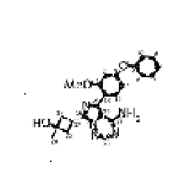 COc1cc(Oc2ccccc2)ccc1-c1nc([C@H]2C[C@@](C)(O)C2)n2ncnc(N)c12